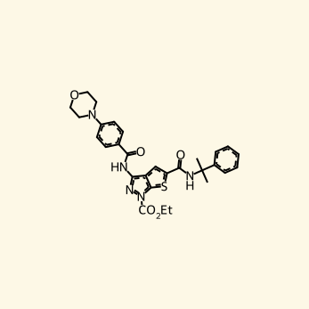 CCOC(=O)n1nc(NC(=O)c2ccc(N3CCOCC3)cc2)c2cc(C(=O)NC(C)(C)c3ccccc3)sc21